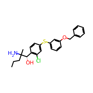 CCCC(C)(N)[C@@H](O)c1ccc(Sc2cccc(OCc3ccccc3)c2)cc1Cl